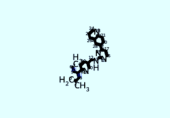 C=C(C)/C=C(\C=C/C)c1ccc(CNc2nccc(-c3ccc4ncccc4c3)n2)cn1